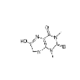 Cn1c(=O)c2nc(O)cnc2n(C)c1=O